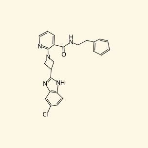 O=C(NCCc1ccccc1)c1cccnc1N1CC(c2nc3cc(Cl)ccc3[nH]2)C1